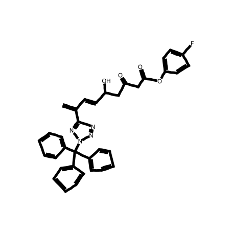 C=C(C=CC(O)CC(=O)CC(=O)Oc1ccc(F)cc1)c1nnn(C(c2ccccc2)(c2ccccc2)c2ccccc2)n1